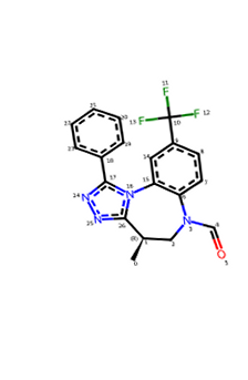 C[C@@H]1CN(C=O)c2ccc(C(F)(F)F)cc2-n2c(-c3ccccc3)nnc21